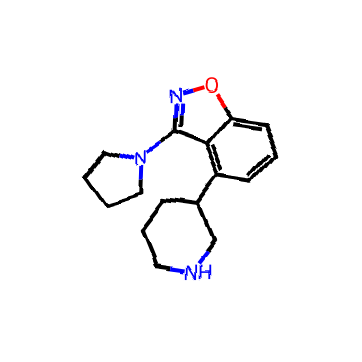 c1cc(C2CCCNC2)c2c(N3CCCC3)noc2c1